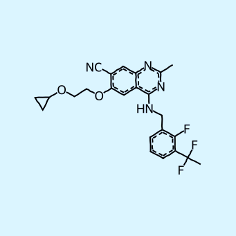 Cc1nc(NCc2cccc(C(C)(F)F)c2F)c2cc(OCCOC3CC3)c(C#N)cc2n1